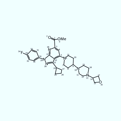 COC(=O)c1cc(N2CCC(N3CCN(C4COC4)CC3)CC2)c2c(C3CCC3)nn(-c3ccc(F)cc3)c2n1